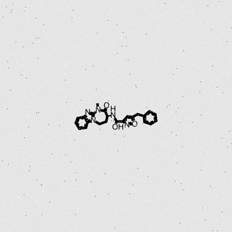 CN1C(=O)[C@@H](NC(O)c2cc(Cc3ccccc3)on2)CCn2c1nc1ccccc12